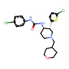 O=C(Nc1ccc(Cl)cc1)N[C@@H]1CCN(CC2CCOCC2)C[C@H]1c1ccc(Cl)s1